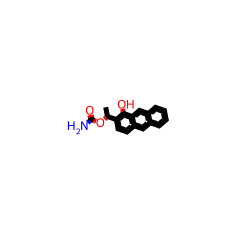 CC(OC(N)=O)c1ccc2cc3ccccc3cc2c1O